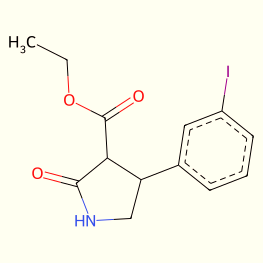 CCOC(=O)C1C(=O)NCC1c1cccc(I)c1